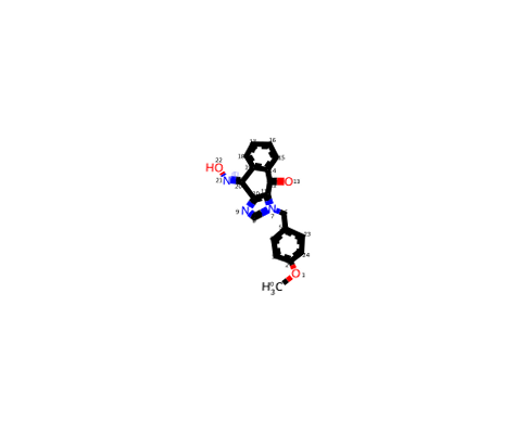 COc1ccc(Cn2cnc3c2C(=O)c2ccccc2/C3=N\O)cc1